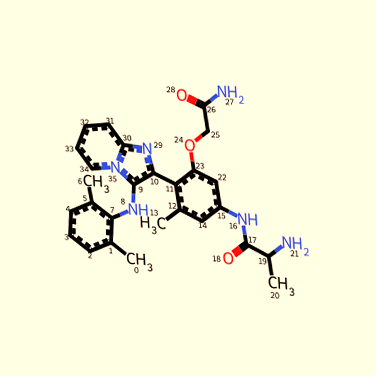 Cc1cccc(C)c1Nc1c(-c2c(C)cc(NC(=O)C(C)N)cc2OCC(N)=O)nc2ccccn12